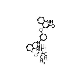 CC(C)(C)C(=O)Nc1ncccc1CNc1cccc(Oc2cc(=O)[nH]c3ccccc23)c1